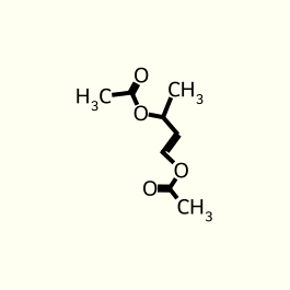 CC(=O)OC=CC(C)OC(C)=O